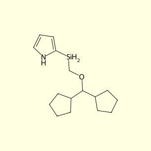 c1c[nH]c([SiH2]COC(C2CCCC2)C2CCCC2)c1